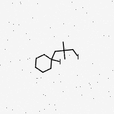 CC(C)(CI)CC1(I)CCCCC1